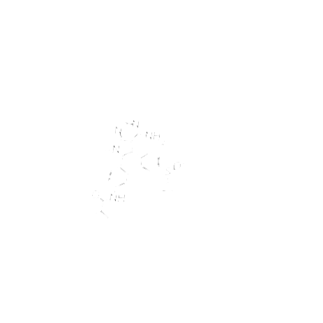 C=C(C)C(=O)Nc1ccc(-c2c(-c3ccc([S+]([O-])C4CC4)cc3)c3c(N)ncnc3n2C)cc1